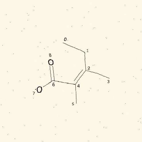 CCC(C)=C(C)C([O])=O